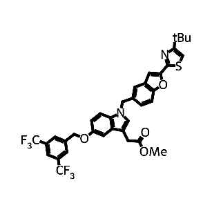 COC(=O)Cc1cn(Cc2ccc3oc(-c4nc(C(C)(C)C)cs4)cc3c2)c2ccc(OCc3cc(C(F)(F)F)cc(C(F)(F)F)c3)cc12